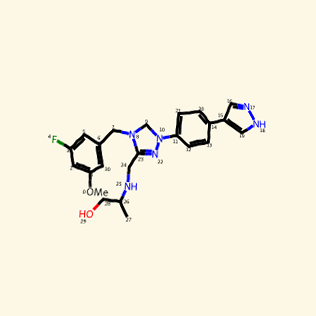 COc1cc(F)cc(CN2CN(c3ccc(-c4cn[nH]c4)cc3)N=C2CNC(C)CO)c1